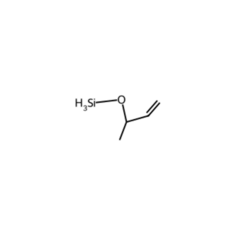 C=CC(C)O[SiH3]